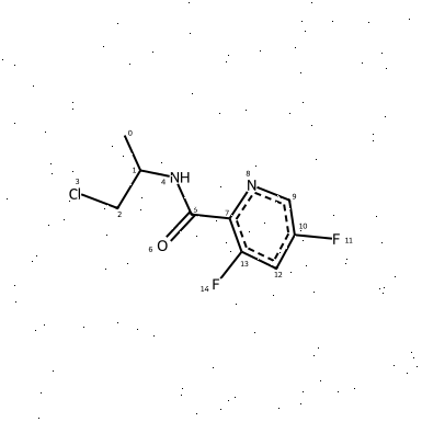 CC(CCl)NC(=O)c1ncc(F)cc1F